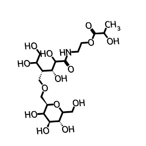 CC(O)C(=O)OCCNC(=O)C(O)[C@H](O)[C@H](COC[C@H]1OC(CO)[C@H](O)[C@@H](O)C1O)C(O)CO